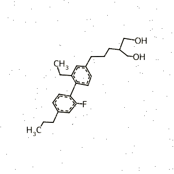 CCCc1ccc(-c2ccc(CCCC(CO)CO)cc2CC)c(F)c1